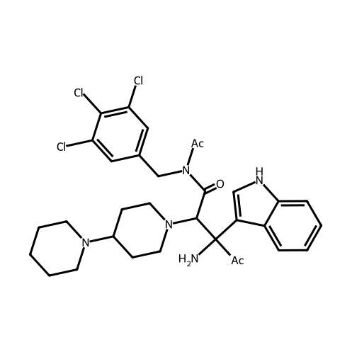 CC(=O)N(Cc1cc(Cl)c(Cl)c(Cl)c1)C(=O)C(N1CCC(N2CCCCC2)CC1)C(N)(C(C)=O)c1c[nH]c2ccccc12